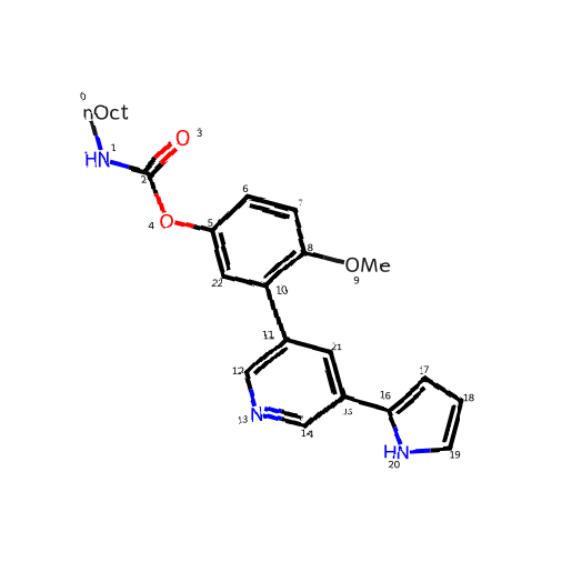 CCCCCCCCNC(=O)Oc1ccc(OC)c(-c2cncc(-c3ccc[nH]3)c2)c1